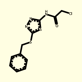 O=C(CCl)Nc1nnc(SCc2ccccc2)s1